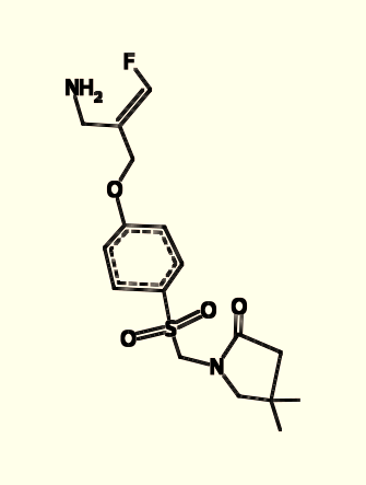 CC1(C)CC(=O)N(CS(=O)(=O)c2ccc(OC/C(=C/F)CN)cc2)C1